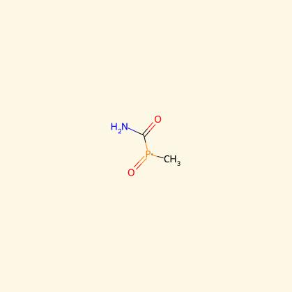 C[P](=O)C(N)=O